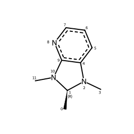 C[C@@H]1N(C)c2cccnc2N1C